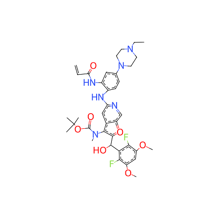 C=CC(=O)Nc1cc(N2CCN(CC)CC2)ccc1Nc1cc2c(N(C)C(=O)OC(C)(C)C)c(C(O)c3c(F)c(OC)cc(OC)c3F)oc2cn1